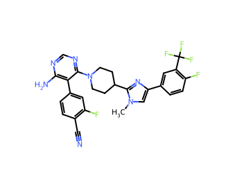 Cn1cc(-c2ccc(F)c(C(F)(F)F)c2)nc1C1CCN(c2ncnc(N)c2-c2ccc(C#N)c(F)c2)CC1